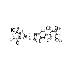 C=CC(=O)N1C[C@H](CCc2ncc3cc(-c4c(Cl)c(OC)cc(OC)c4Cl)ccc3n2)C[C@@H]1C(C)(C)O